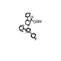 COC(=O)N1C[C@H](c2cc(-c3ccc(F)cc3)nn2-c2ncccn2)CC[C@H]1c1ccccc1